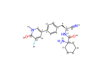 Cn1cc(-c2ccc(C[C@@H](C#N)NC(=O)C3(N)CCCCC3)cc2)cc(F)c1=O